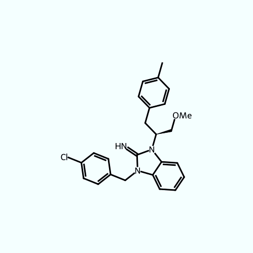 COC[C@H](Cc1ccc(C)cc1)n1c(=N)n(Cc2ccc(Cl)cc2)c2ccccc21